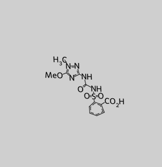 COc1nc(NC(=O)NS(=O)(=O)c2ccccc2C(=O)O)nn1C